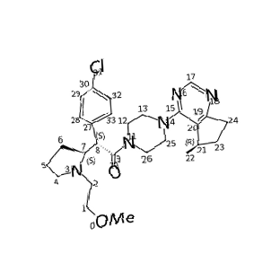 COCCN1CCC[C@H]1[C@@H](C(=O)N1CCN(c2ncnc3c2[C@H](C)CC3)CC1)c1ccc(Cl)cc1